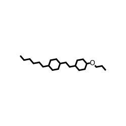 CCCCCCC1CCC(CCC2CCC(OCCC)CC2)CC1